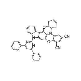 N#Cc1cc(C#N)c2c(c1)N1c3ccccc3Oc3c1c(cc1c3c3ccccc3n1-c1nc(-c3ccccc3)cc(-c3ccccc3)n1)O2